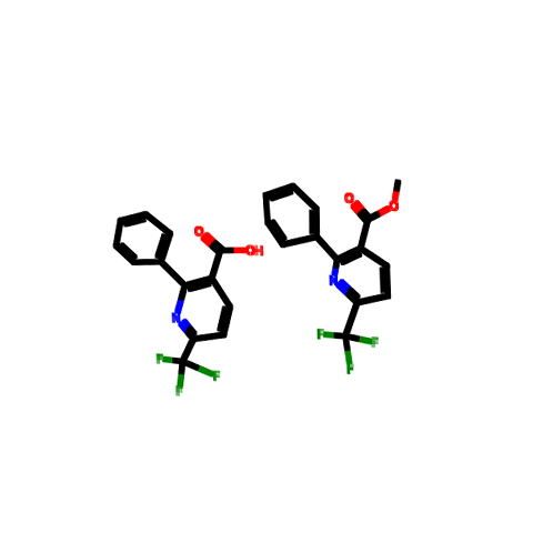 COC(=O)c1ccc(C(F)(F)F)nc1-c1ccccc1.O=C(O)c1ccc(C(F)(F)F)nc1-c1ccccc1